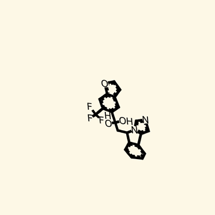 OC(O)(CC1c2ccccc2-c2cncn21)c1cc2ccoc2cc1C(F)(F)F